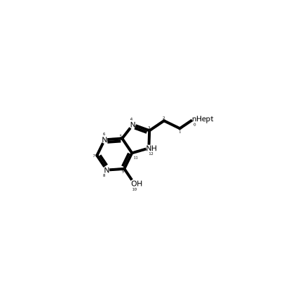 CCCCCCCCCc1nc2ncnc(O)c2[nH]1